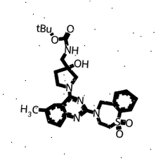 Cc1ccc2nc(N3CCS(=O)(=O)c4ccccc4C3)nc(N3CCC(O)(CNC(=O)OC(C)(C)C)C3)c2c1